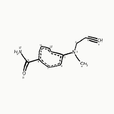 C#CCN(C)c1ccc(C(N)=O)cc1